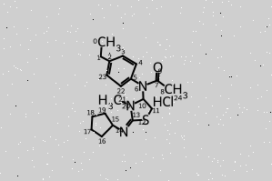 CCc1ccc(N(C(C)=O)C2CSC(=NC3CCCC3)N2C)cc1.Cl